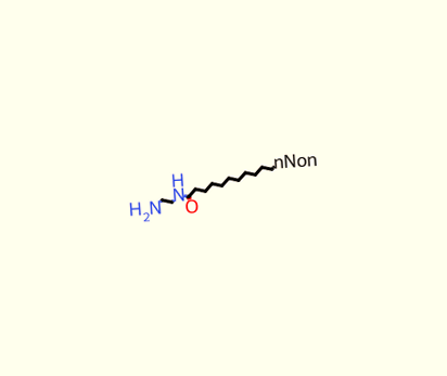 CCCCCCCCCCCCCCCCCCCC(=O)NCCN